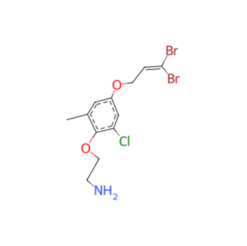 Cc1cc(OCC=C(Br)Br)cc(Cl)c1OCCN